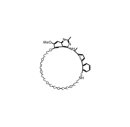 COc1cc2nc(C)nc3c2cc1OCCOCCOCCOCCOCCOCCNCc1ccccc1-c1ccc(s1)C(C)N3